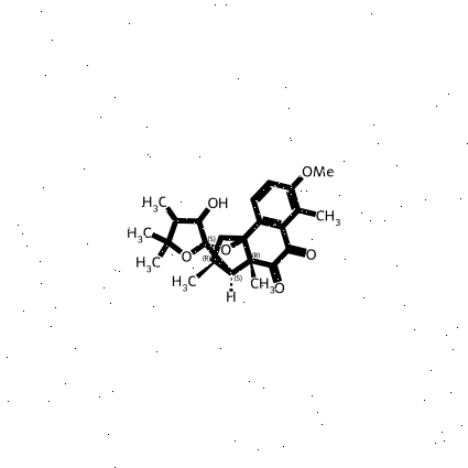 COc1ccc2c(c1C)C(=O)C(=O)[C@]1(C)[C@H]3CCC21O[C@@]1(OC(C)(C)C(C)C1O)[C@@H]3C